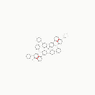 CC1(C)c2ccccc2-c2cc(N(c3ccccc3)c3cc4c(cc3-c3ccccc3)-c3ccccc3C4(c3ccc(-c4ccccc4)cc3)c3ccc(-c4ccccc4)c(N(c4ccccc4)c4ccc(C5CC6CCC5C6)cc4)c3)ccc21